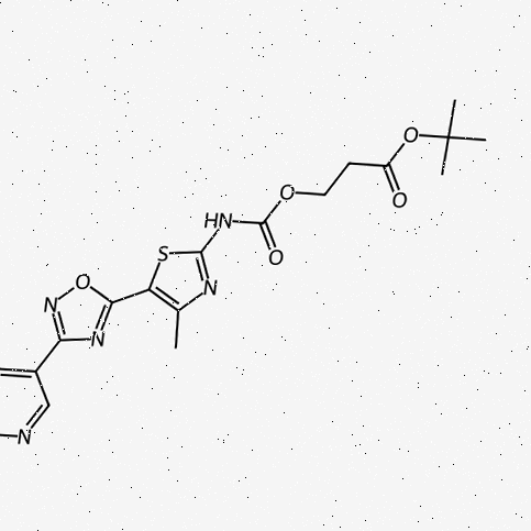 Cc1nc(NC(=O)OCCC(=O)OC(C)(C)C)sc1-c1nc(-c2cccnc2)no1